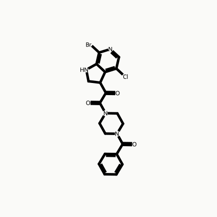 O=C(C(=O)N1CCN(C(=O)c2ccccc2)CC1)C1CNc2c(Br)ncc(Cl)c21